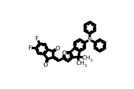 CC1(C)c2cc(N(c3ccccc3)c3ccccc3)ccc2-c2oc(C=C3C(=O)c4cc(F)c(F)cc4C3=O)cc21